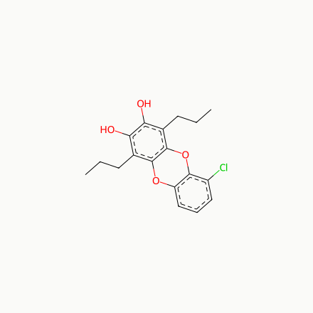 CCCc1c(O)c(O)c(CCC)c2c1Oc1cccc(Cl)c1O2